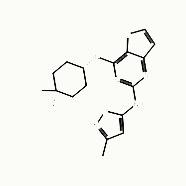 Cc1cc(Nc2nc(N[C@H]3CC[C@](C)(O)CC3)c3sccc3n2)sn1